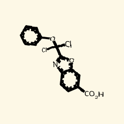 O=C(O)c1ccc2nc(C(Cl)(Cl)Oc3ccccc3)oc2c1